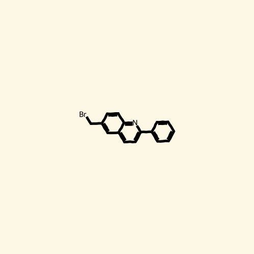 BrCc1ccc2nc(-c3ccccc3)ccc2c1